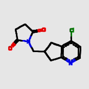 O=C1CCC(=O)N1CC1Cc2nccc(Cl)c2C1